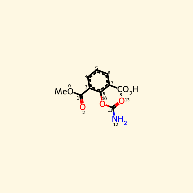 COC(=O)c1cccc(C(=O)O)c1OC(N)=O